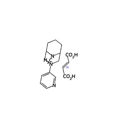 CN1C2CCCC1CN(c1cccnc1)C2.O=C(O)/C=C/C(=O)O